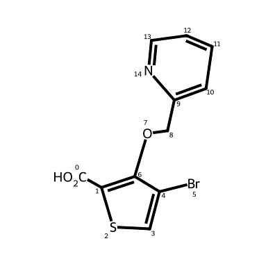 O=C(O)c1scc(Br)c1OCc1ccccn1